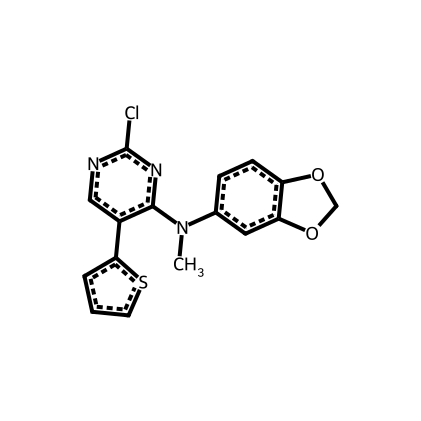 CN(c1ccc2c(c1)OCO2)c1nc(Cl)ncc1-c1cccs1